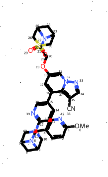 COc1ccc(CN2C3CC2CN(c2ccc(-c4cc(OCCN5C6CC5CS(=O)(=O)C6)cn5ncc(C#N)c45)cn2)C3)cn1